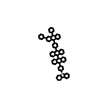 C1=Cc2c(c3ccccc3n2-c2ccc(-c3c4ccccc4c(-c4c5ccccc5c(-c5ccc(-c6c7ccccc7c(-c7ccccc7)c7cc(-c8ccccc8)ccc67)cc5)c5ccccc45)c4ccccc34)cc2)CC1